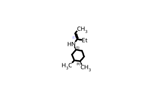 C/C=C(\CC)N[C@H]1CC[C@@H](C)C(C)C1